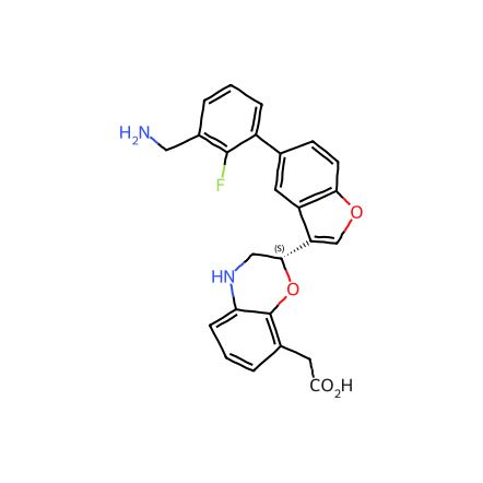 NCc1cccc(-c2ccc3occ([C@H]4CNc5cccc(CC(=O)O)c5O4)c3c2)c1F